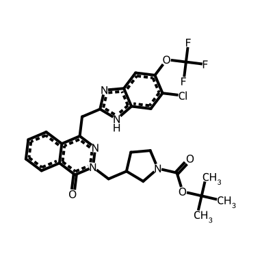 CC(C)(C)OC(=O)N1CCC(Cn2nc(Cc3nc4cc(OC(F)(F)F)c(Cl)cc4[nH]3)c3ccccc3c2=O)C1